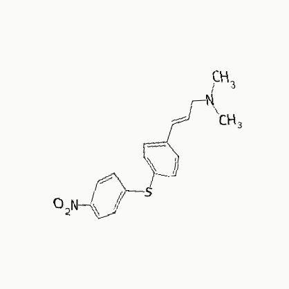 CN(C)CC=Cc1ccc(Sc2ccc([N+](=O)[O-])cc2)cc1